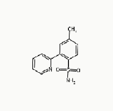 Cc1ccc(S(N)(=O)=O)c(-c2ccccn2)c1